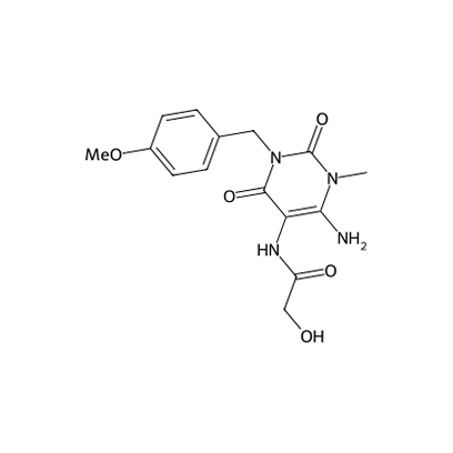 COc1ccc(Cn2c(=O)c(NC(=O)CO)c(N)n(C)c2=O)cc1